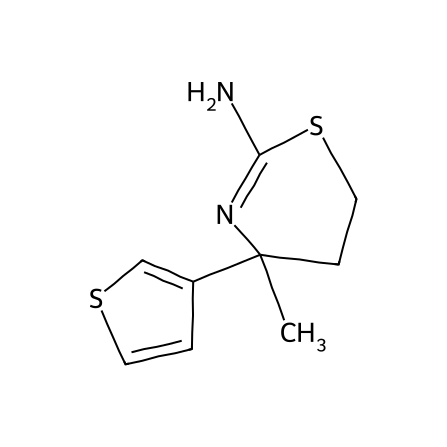 CC1(c2ccsc2)CCSC(N)=N1